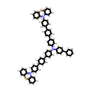 c1ccc(-c2ccc(N(c3ccc(-c4ccc(-c5ccc(N6c7ccccc7Sc7ccccc76)cc5)cc4)cc3)c3ccc(-c4ccc(-c5ccc(N6c7ccccc7Sc7ccccc76)cc5)cc4)cc3)cc2)cc1